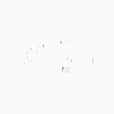 CC(CCOc1ccc(F)cc1)CCC(CN)C(=O)O